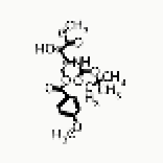 COC(=O)[C@@H](O)[C@@H](COC(=O)c1ccc(OC)cc1)NC(=O)OC(C)(C)C